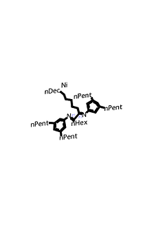 CCCCCCCCCCCCCCCC(=N\c1cc(CCCCC)cc(CCCCC)c1)/C(CCCCCC)=N/c1cc(CCCCC)cc(CCCCC)c1.[Ni]